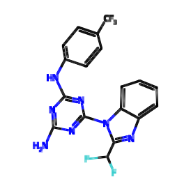 Nc1nc(Nc2ccc(C(F)(F)F)cc2)nc(-n2c(C(F)F)nc3ccccc32)n1